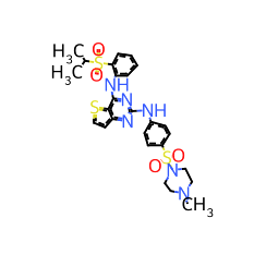 CC(C)S(=O)(=O)c1ccccc1Nc1nc(Nc2ccc(S(=O)(=O)N3CCN(C)CC3)cc2)nc2ccsc12